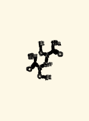 CCO[N]([Sn][N](OCC)C(=O)C(C)(C)C)C(=O)C(C)(C)C